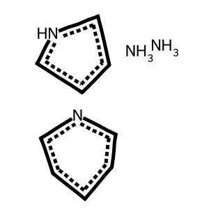 N.N.c1cc[nH]c1.c1ccncc1